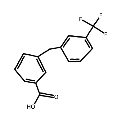 O=C(O)c1cccc(Cc2cccc(C(F)(F)F)c2)c1